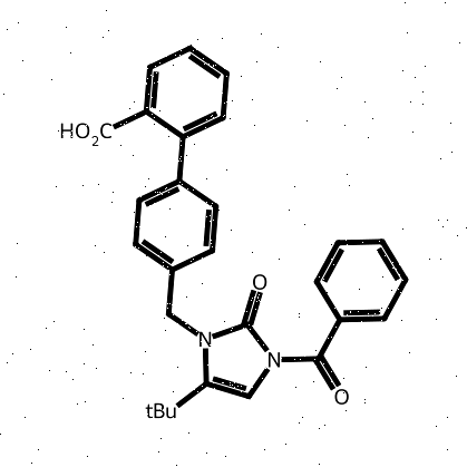 CC(C)(C)c1cn(C(=O)c2ccccc2)c(=O)n1Cc1ccc(-c2ccccc2C(=O)O)cc1